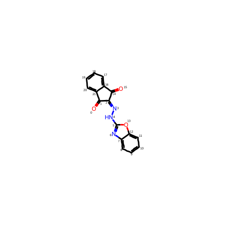 O=c1c(=NNc2nc3ccccc3o2)c(=O)c2ccccc12